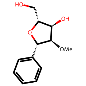 CO[C@@H]1[C@H](O)[C@@H](CO)O[C@H]1c1ccccc1